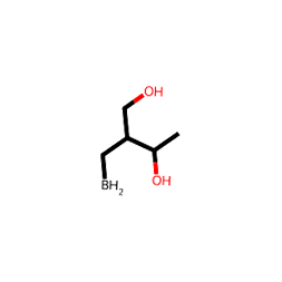 BCC(CO)C(C)O